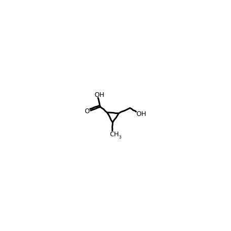 CC1C(CO)C1C(=O)O